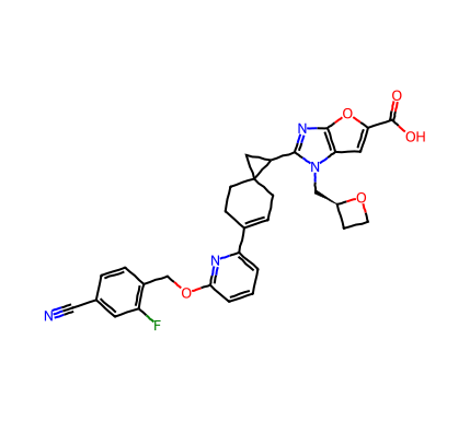 N#Cc1ccc(COc2cccc(C3=CCC4(CC3)CC4c3nc4oc(C(=O)O)cc4n3C[C@@H]3CCO3)n2)c(F)c1